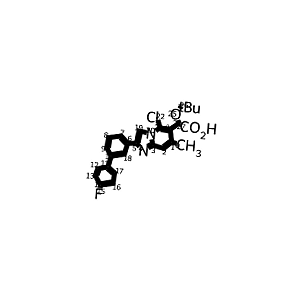 Cc1cc2nc(-c3cccc(-c4ccc(F)cc4)c3)cn2c(Cl)c1C(OC(C)(C)C)C(=O)O